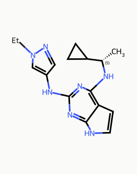 CCn1cc(Nc2nc(N[C@@H](C)C3CC3)c3cc[nH]c3n2)cn1